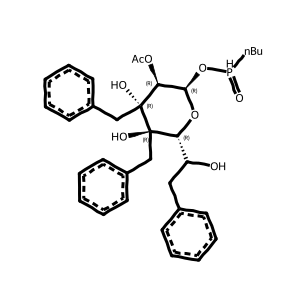 CCCC[PH](=O)O[C@H]1O[C@H](C(O)Cc2ccccc2)[C@](O)(Cc2ccccc2)[C@@](O)(Cc2ccccc2)[C@H]1OC(C)=O